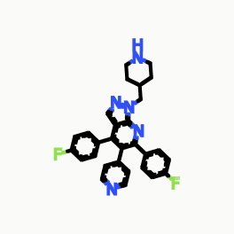 Fc1ccc(-c2nc3c(cnn3CC3CCNCC3)c(-c3ccc(F)cc3)c2-c2ccncc2)cc1